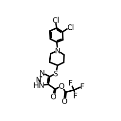 O=C(OC(=O)C(F)(F)F)c1[nH]nnc1SC1CCN(c2ccc(Cl)c(Cl)c2)CC1